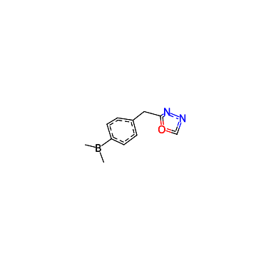 CB(C)c1ccc(Cc2nnco2)cc1